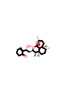 C[C@H]1[C@@H](C[C@@H](O)C2=CCCCC2=O)O[C@@H]2O[C@]3(C)CC[C@H]4[C@H](C)CC[C@@H]1[C@@]24OO3